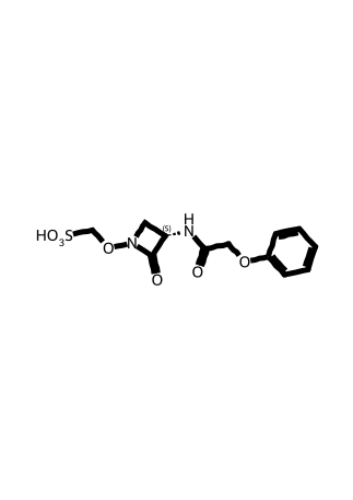 O=C(COc1ccccc1)N[C@H]1CN(OCS(=O)(=O)O)C1=O